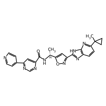 C[C@@H](NC(=O)c1cc(-c2ccncc2)ncn1)c1cc(-c2nc3ccc(C4(C)CC4)nc3[nH]2)no1